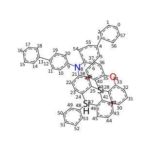 c1ccc(-c2ccc(N(c3ccc(-c4ccccc4)cc3)c3ccc4c(c3)[Si]3(c5ccccc5Oc5ccccc53)c3ccccc3[SiH]4c3ccccc3)cc2)cc1